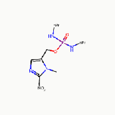 CCCNP(=O)(NCCC)OCc1cnc([N+](=O)[O-])n1C